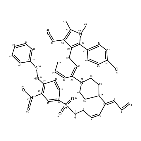 C=C/C=C(\C=C/CNS(=O)(=O)c1ccc(NSc2ccccc2)c([N+](=O)[O-])c1)N1CCN(C(/C=C\C)=C/Cc2c(C=O)c(C)n(C)c2-c2ccc(Cl)cc2)CC1